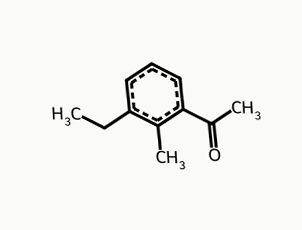 CCc1cccc(C(C)=O)c1C